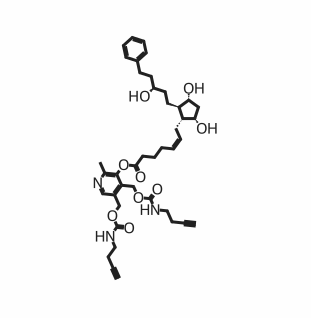 C#CCCNC(=O)OCc1cnc(C)c(OC(=O)CCC/C=C\C[C@@H]2[C@@H](CC[C@@H](O)CCc3ccccc3)[C@H](O)C[C@@H]2O)c1COC(=O)NCCC#C